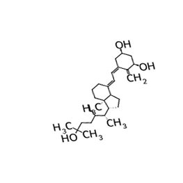 C=C1/C(=C\C=C2CCC[C@@]3(C)C2CC[C@@H]3[C@H](C)[C@H](I)CCC(C)(C)O)C[C@@H](O)C[C@H]1O